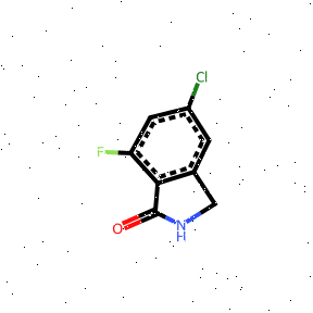 O=C1NCc2cc(Cl)cc(F)c21